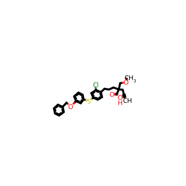 C#CCC(CCCc1ccc(Sc2cccc(OCc3ccccc3)c2)cc1Cl)(COC)C(=O)O